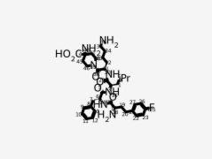 CC(C)C[C@@H](NC(=O)[C@@H](Cc1ccccc1)NC(=O)[C@H](N)CCc1ccc(F)cc1)C(=O)N[C@H](CCCCN)C(=O)N1CCC(N)(C(=O)O)CC1